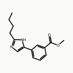 CCCCc1ncc(-c2cccc(C(=O)OC)c2)[nH]1